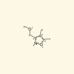 [CH2]OCc1noc(C)c1C